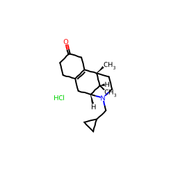 C[C@@H]1[C@H]2CC3=C(CC(=O)CC3)[C@]1(C)CCN2CC1CC1.Cl